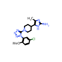 COc1ccc(Cl)cc1-n1nnnc1N1CCC(c2[nH]c(N)nc2C)CC1